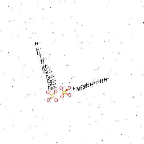 O=S(=O)([O-])[O-].O=S(=O)([O-])[O-].[Fe+2].[Fe+2].[Fe+2].[Fe+2].[Fe+2].[Fe+2].[Fe+2].[Fe+2].[Fe+2].[H-].[H-].[H-].[H-].[H-].[H-].[H-].[H-].[H-].[H-].[H-].[H-].[H-].[H-]